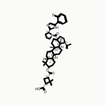 C=C(C)[C@@H]1CC[C@]2(C(=O)N3CCC[C@H]3c3ncc(-c4ccccc4F)[nH]3)CC[C@]3(C)[C@H](CC[C@@H]4[C@@]5(C)CC[C@H](OC(=O)[C@H]6C[C@@H](C(=O)O)C6(C)C)C(C)(C)[C@@H]5CC[C@]43C)[C@@H]12